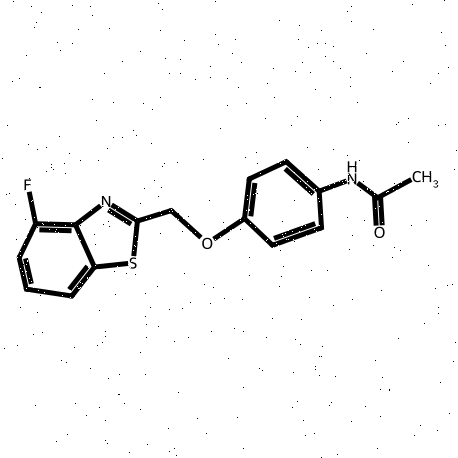 CC(=O)Nc1ccc(OCc2nc3c(F)cccc3s2)cc1